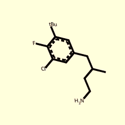 CC(CCN)Cc1cc(Cl)c(F)c(C(C)(C)C)c1